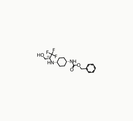 O=C(N[C@H]1CC[C@@H](N[C@@H](CO)C(F)(F)F)CC1)OCc1ccccc1